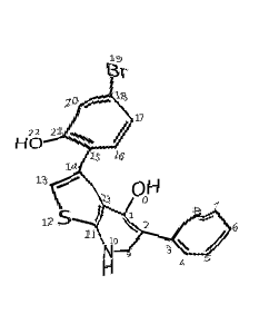 OC1=C(c2ccccc2)CNc2scc(-c3ccc(Br)cc3O)c21